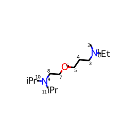 CCN(C)CCCOCCN(C(C)C)C(C)C